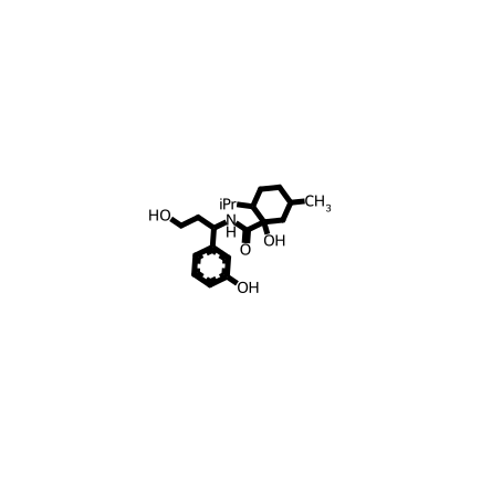 CC1CCC(C(C)C)C(O)(C(=O)NC(CCO)c2cccc(O)c2)C1